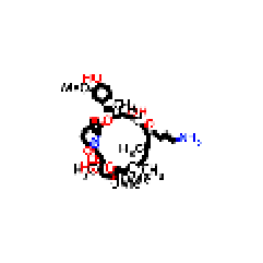 CO[C@H]1C[C@@H](C)C/C(C)=C/[C@@H](CC=CCN)C(=O)C[C@H](O)C(C)[C@@H](/C(C)=C/[C@@H]2CC[C@@H](O)[C@H](OC)C2)OC(=O)[C@@H]2CCCCN2C(=O)C(=O)[C@]2(O)O[C@H]1[C@@H](OC)C[C@H]2C